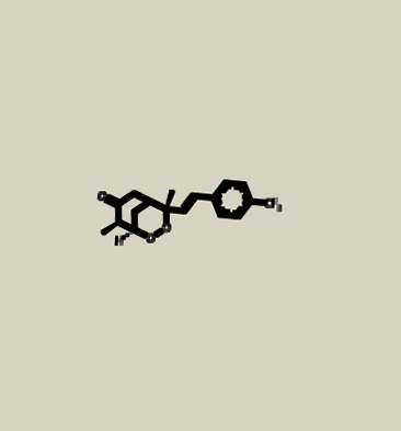 C[C@H]1C(=O)CC2C[C@H]1OO[C@@]2(C)/C=C/c1ccc(C(F)(F)F)cc1